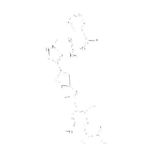 COc1cc(C2(C(=O)O)CC2)c(OC)cc1-c1cc2sc(-c3cnn(C)c3NC(=O)O[C@H](C)c3ccccc3)cc2s1